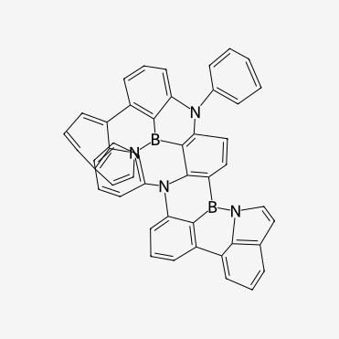 c1ccc(N2c3cccc4c3B(c3c2ccc2c3N(c3ccccc3)c3cccc5c3B2n2ccc3cccc-5c32)n2ccc3cccc-4c32)cc1